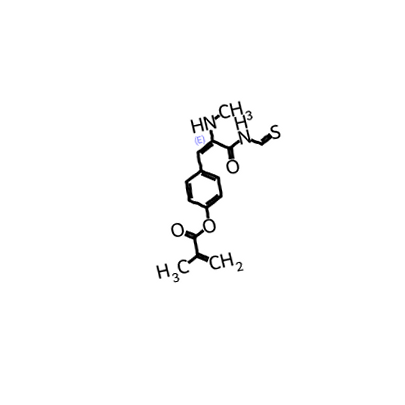 C=C(C)C(=O)Oc1ccc(/C=C(/NC)C(=O)NC=S)cc1